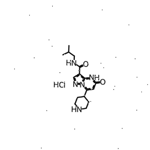 CC(C)CNC(=O)c1cnn2c(C3CCNCC3)cc(=O)[nH]c12.Cl